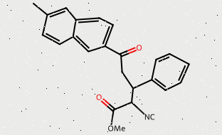 [C-]#[N+]C(C(=O)OC)C(CC(=O)c1ccc2cc(C)ccc2c1)c1ccccc1